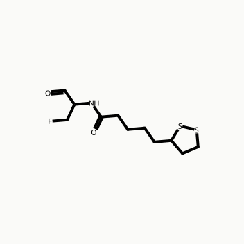 O=CC(CF)NC(=O)CCCCC1CCSS1